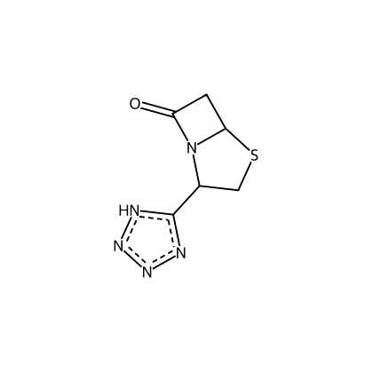 O=C1CC2SCC(c3nnn[nH]3)N12